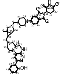 CC12CN(CC3CCN(c4ccc5c(c4)C(=O)N(C4CCC(=O)NC4=O)C5=O)CC3)CC1C2CN1CCN2c3cc(-c4ccccc4O)nnc3NC[C@H]2C1